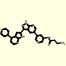 CCCC(=O)Nc1cncc(-c2cnc3[nH]nc(-c4cc5c(-c6ccncc6)ccnc5[nH]4)c3c2)c1